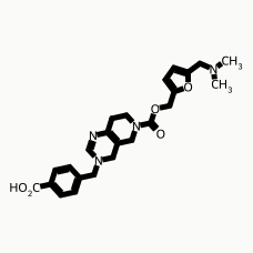 CN(C)Cc1ccc(COC(=O)N2CCC3=C(CN(Cc4ccc(C(=O)O)cc4)C=N3)C2)o1